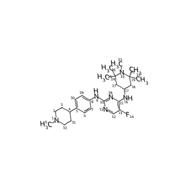 CN1CCC(c2ccc(Nc3ncc(F)c(NC4CC(C)(C)N(C)C(C)(C)C4)n3)cc2)CC1